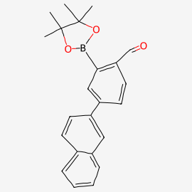 CC1(C)OB(c2cc(-c3ccc4ccccc4c3)ccc2C=O)OC1(C)C